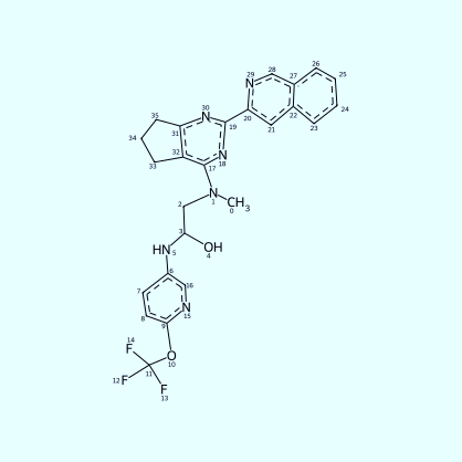 CN(CC(O)Nc1ccc(OC(F)(F)F)nc1)c1nc(-c2cc3ccccc3cn2)nc2c1CCC2